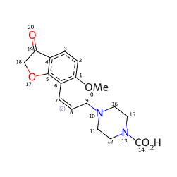 COc1ccc2c(c1/C=C\CN1CCN(C(=O)O)CC1)OCC2=O